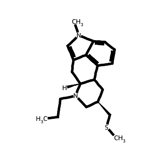 CCCN1C[C@H](CSC)CC2c3cccc4c3c(cn4C)C[C@H]21